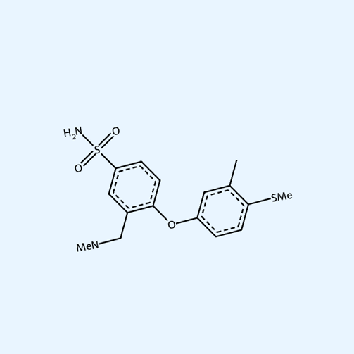 CNCc1cc(S(N)(=O)=O)ccc1Oc1ccc(SC)c(C)c1